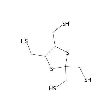 SCC1SC(CS)(CS)SC1CS